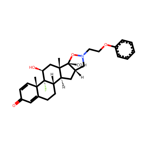 C[C@]12C=CC(=O)C=C1CC[C@H]1[C@@H]3C[C@H]4CN(CCOc5ccccc5)O[C@@]4(C(=O)O)[C@@]3(C)C[C@H](O)[C@@]12F